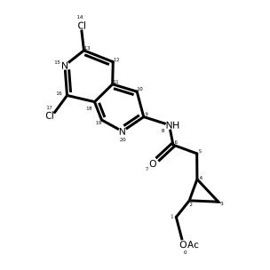 CC(=O)OCC1CC1CC(=O)Nc1cc2cc(Cl)nc(Cl)c2cn1